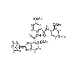 COc1cc(C(=O)Nc2ccc(F)cc2OC)c(NC(=O)c2c(OC)ccc3nc(N4C5COCC4C5)sc23)cn1